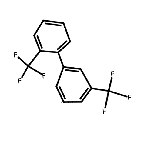 FC(F)(F)c1c[c]cc(-c2ccccc2C(F)(F)F)c1